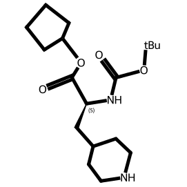 CC(C)(C)OC(=O)N[C@@H](CC1CCNCC1)C(=O)OC1CCCC1